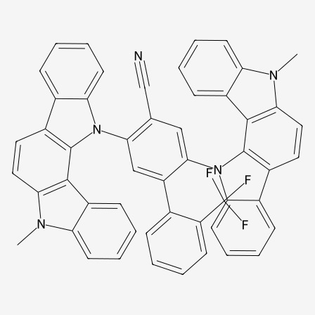 Cn1c2ccccc2c2c1ccc1c3ccccc3n(-c3cc(-c4ccccc4C(F)(F)F)c(-n4c5ccccc5c5ccc6c(c7ccccc7n6C)c54)cc3C#N)c12